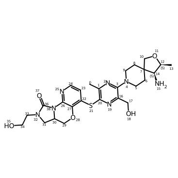 Cc1nc(N2CCC3(CC2)CO[C@@H](C)[C@H]3N)c(CO)nc1Sc1ccnc2c1OCC1CN(CCO)C(=O)N21